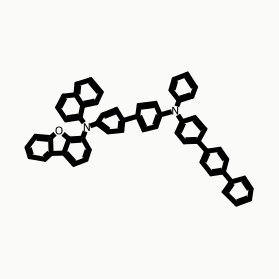 c1ccc(-c2ccc(-c3ccc(N(c4ccccc4)c4ccc(-c5ccc(N(c6cccc7ccccc67)c6cccc7c6oc6ccccc67)cc5)cc4)cc3)cc2)cc1